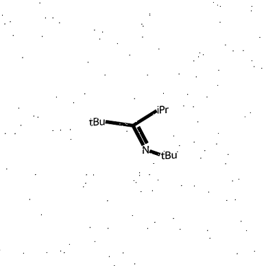 CC(C)/C(=N\C(C)(C)C)C(C)(C)C